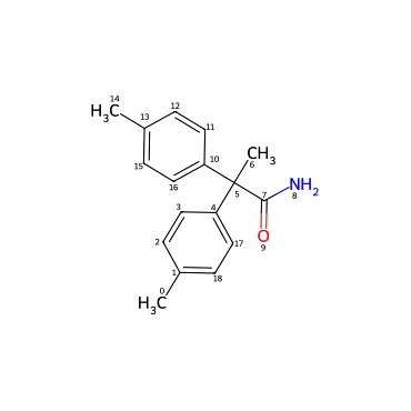 Cc1ccc(C(C)(C(N)=O)c2ccc(C)cc2)cc1